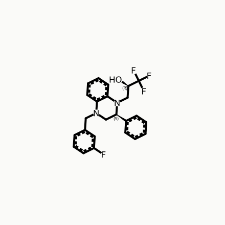 O[C@H](CN1c2ccccc2N(Cc2cccc(F)c2)C[C@@H]1c1ccccc1)C(F)(F)F